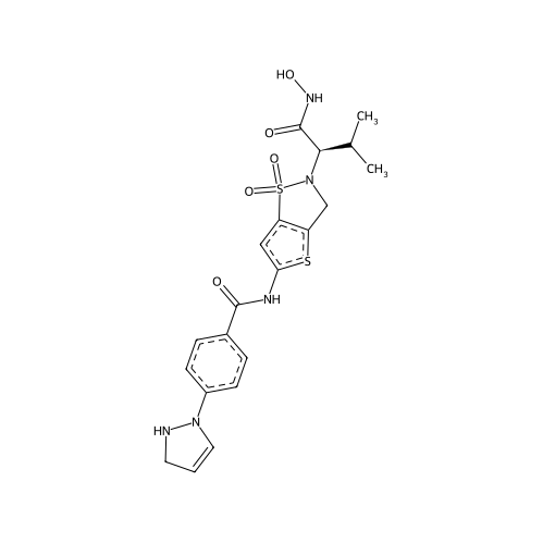 CC(C)[C@H](C(=O)NO)N1Cc2sc(NC(=O)c3ccc(N4C=CCN4)cc3)cc2S1(=O)=O